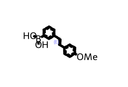 COc1ccc(/C=C/c2cccc(B(O)O)c2)cc1